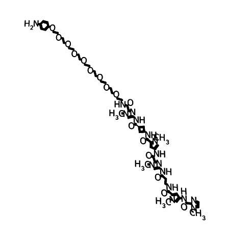 Cn1cc(NC(=O)c2nccn2C)cc1C(=O)NCCC(=O)Nc1cn(C)c(C(=O)Nc2cc(C(=O)N[C@H]3C[C@H](C(=O)Nc4cn(C)c(C(=O)NCCOCCOCCOCCOCCOCCOCCOCCOCCOc5ccc(N)cc5)n4)C3)n(C)c2)n1